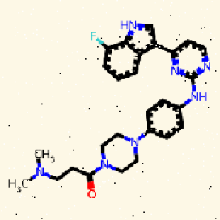 CN(C)CCC(=O)N1CCN(c2ccc(Nc3nccc(-c4c[nH]c5c(F)cccc45)n3)cc2)CC1